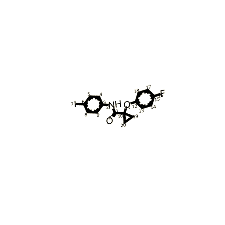 O=C(Nc1ccc(I)cc1)C1(Oc2ccc(F)cc2)CC1